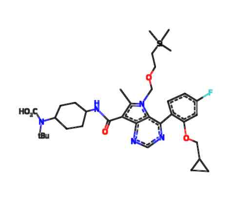 Cc1c(C(=O)NC2CCC(N(C(=O)O)C(C)(C)C)CC2)c2ncnc(-c3ccc(F)cc3OCC3CC3)c2n1COCC[Si](C)(C)C